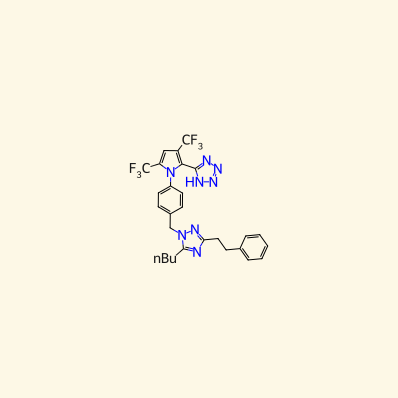 CCCCc1nc(CCc2ccccc2)nn1Cc1ccc(-n2c(C(F)(F)F)cc(C(F)(F)F)c2-c2nnn[nH]2)cc1